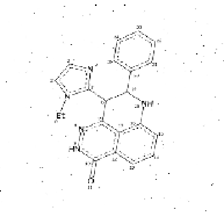 CCn1ccnc1C1c2n[nH]c(=O)c3cccc(c23)NC1c1ccccc1